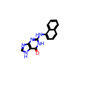 O=c1[nH]c(Nc2cccc3ccccc23)nc2nc[nH]c12